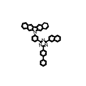 C1=Cc2cc3c(cc2CC1)c1cc2ccccc2cc1n3-c1cccc(-c2nc(-c3ccc(-c4ccccc4)cc3)nc(-c3ccc4ccccc4c3)n2)c1